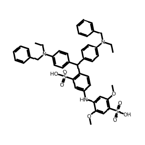 CCN(Cc1ccccc1)c1ccc(C(c2ccc(N(CC)Cc3ccccc3)cc2)c2ccc(Nc3cc(OC)c(S(=O)(=O)O)cc3OC)cc2S(=O)(=O)O)cc1